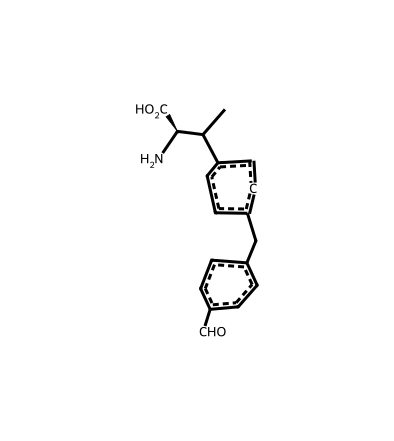 CC(c1ccc(Cc2ccc(C=O)cc2)cc1)[C@@H](N)C(=O)O